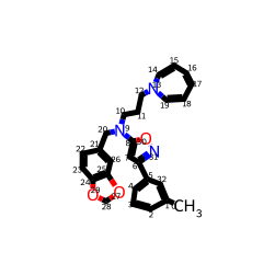 Cc1cccc(-c2cc(N(CCCN3C=CC=CC=C3)Cc3ccc4c(c3)OCO4)on2)c1